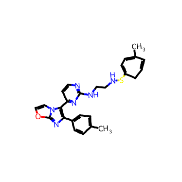 CC1=CC=C(SNCCNc2nccc(-c3c(-c4ccc(C)cc4)nc4occn34)n2)CC=C1